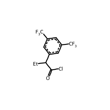 CCC(C(=O)Cl)c1cc(C(F)(F)F)cc(C(F)(F)F)c1